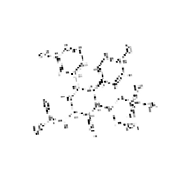 CC(C)(C)S(=O)(=O)C[C@H](CC(F)(F)F)N1C(=O)[C@H](CC(N)=O)O[C@H](c2cccc(Cl)c2)[C@H]1c1ccc(Cl)cc1